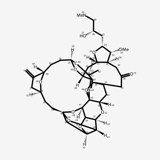 C=C1C[C@@H]2CC[C@@]34C[C@H]5OC6[C@@H](O[C@H]7CC[C@@H]8CC(=O)C[C@@H]9[C@@H](OC)[C@@H](C[C@H](O)CNC)O[C@H]9C[C@H]9O[C@@H](CC[C@@H]1O2)C[C@@H](C)/C9=N/[C@@]7(O8)[C@@H]6O3)[C@H]5O4